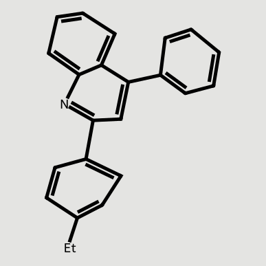 CCc1ccc(-c2cc(-c3ccccc3)c3ccccc3n2)cc1